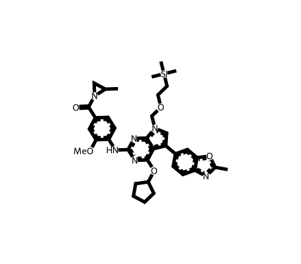 COc1cc(C(=O)N2CC2C)ccc1Nc1nc(OC2CCCC2)c2c(-c3ccc4nc(C)oc4c3)cn(COCC[Si](C)(C)C)c2n1